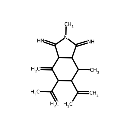 C=C(C)C1C(=C)C2C(=N)N(C)C(=N)C2C(C)C1C(=C)C